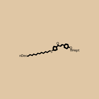 CCCCCCCCCCCCCCCCCCCCCCSc1ccc(C(=O)C=Cc2ccc(OCCCCCCC)cc2)cc1